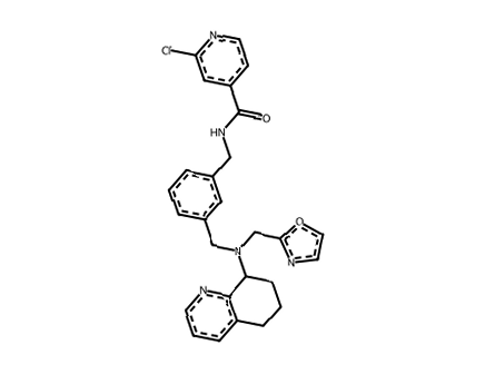 O=C(NCc1cccc(CN(Cc2ncco2)C2CCCc3cccnc32)c1)c1ccnc(Cl)c1